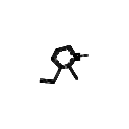 C=Cc1ccc[si](C)c1C